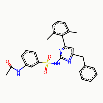 CC(=O)Nc1cccc(S(=O)(=O)Nc2nc(Cc3ccccc3)cc(-c3c(C)cccc3C)n2)c1